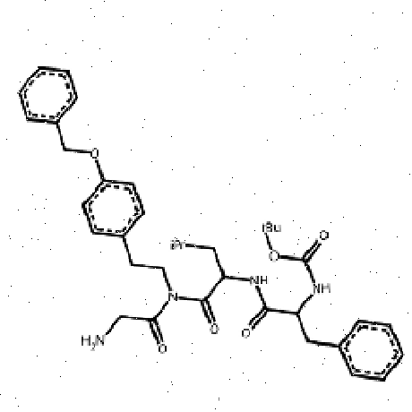 CC(C)CC(NC(=O)C(Cc1ccccc1)NC(=O)OC(C)(C)C)C(=O)N(CCc1ccc(OCc2ccccc2)cc1)C(=O)CN